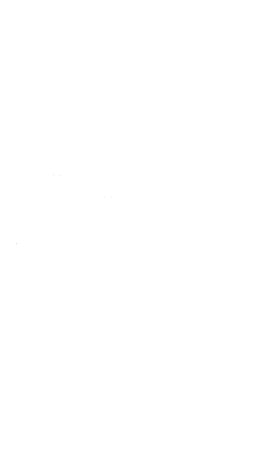 CCC(C)(C)c1ccc(OC(C)OC2CC3CC2C2CCCC32)cc1